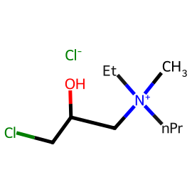 CCC[N+](C)(CC)CC(O)CCl.[Cl-]